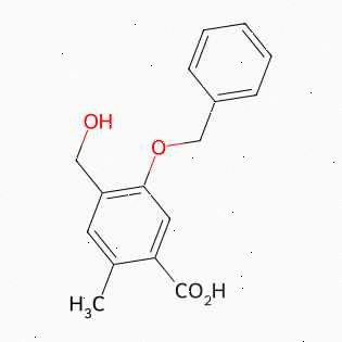 Cc1cc(CO)c(OCc2ccccc2)cc1C(=O)O